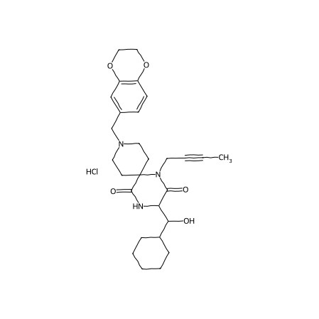 CC#CCN1C(=O)C(C(O)C2CCCCC2)NC(=O)C12CCN(Cc1ccc3c(c1)OCCO3)CC2.Cl